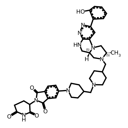 C[C@H]1CN2c3cc(-c4ccccc4O)nnc3NC[C@H]2CN1CC1CCN(CC2CCN(c3ccc4c(c3)C(=O)N(C3CCC(=O)NC3=O)C4=O)CC2)CC1